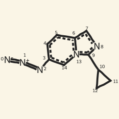 [N-]=[N+]=Nc1ccc2cnc(C3CC3)n2c1